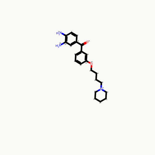 Nc1ccc(C(=O)c2cccc(OCCCCN3CCCCC3)c2)cc1N